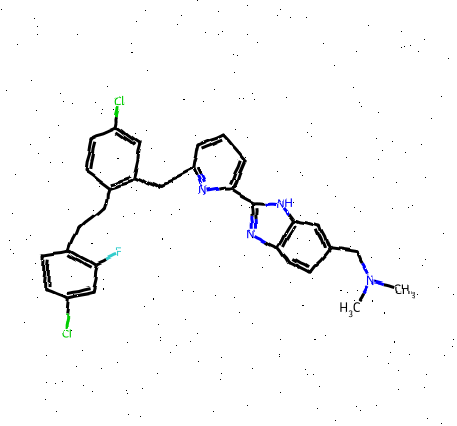 CN(C)Cc1ccc2nc(-c3cccc(Cc4cc(Cl)ccc4CCc4ccc(Cl)cc4F)n3)[nH]c2c1